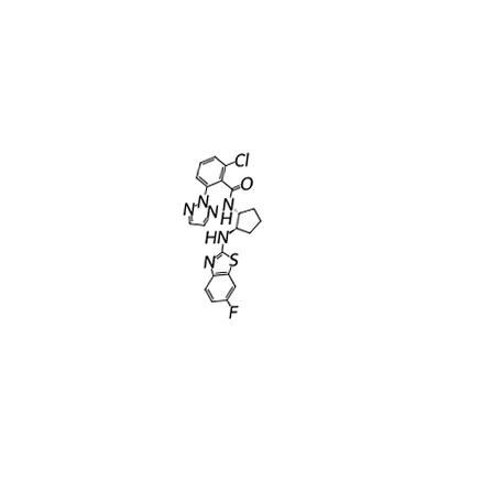 O=C(N[C@@H]1CCC[C@H]1Nc1nc2ccc(F)cc2s1)c1c(Cl)cccc1-n1nccn1